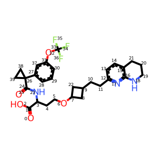 O=C(O)C(CCOC1CC(CCc2ccc3c(n2)NCCC3)C1)NC(=O)C1(c2cccc(OC(F)(F)F)c2)CC1